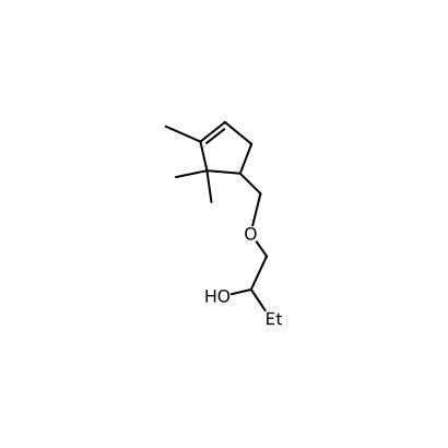 CCC(O)COCC1CC=C(C)C1(C)C